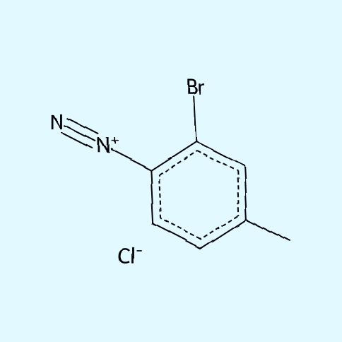 Cc1ccc([N+]#N)c(Br)c1.[Cl-]